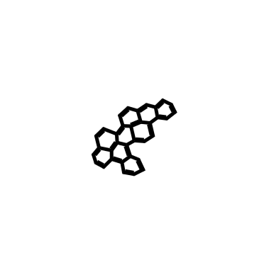 c1ccc2c(c1)cc1ccc3c4ccc5cccc6c7ccccc7c(c7ccc2c1c37)c4c56